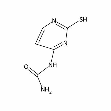 NC(=O)Nc1ccnc(S)n1